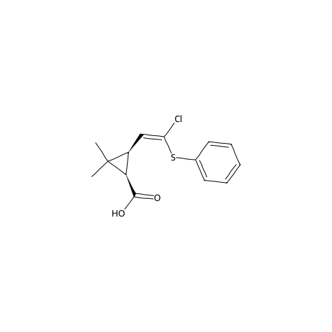 CC1(C)[C@H](C(=O)O)[C@@H]1/C=C(/Cl)Sc1ccccc1